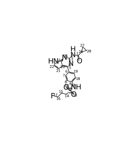 O=C(Nc1nc(-c2ccc(NS(=O)(=O)CCCF)cc2)c2cc[nH]c2n1)C1CC1